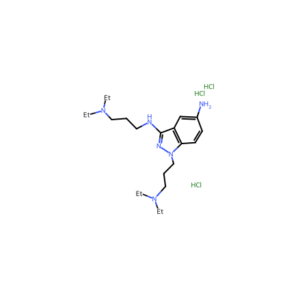 CCN(CC)CCCNc1nn(CCCN(CC)CC)c2ccc(N)cc12.Cl.Cl.Cl